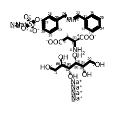 N[C@@H](CC(=O)[O-])C(=O)[O-].O=S(=O)([O-])[O-].OC[C@@H](O)[C@@H](O)[C@H](O)[C@@H](O)CO.[CH](=[Mn-2]=[CH]c1ccccc1)c1ccccc1.[Na+].[Na+].[Na+].[Na+].[Na+].[Na+]